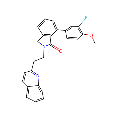 COc1ccc(-c2cccc3c2C(=O)N(CCc2ccc4ccccc4n2)C3)cc1F